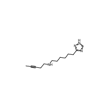 CC#CCCNCCCCCCc1nc[nH]n1